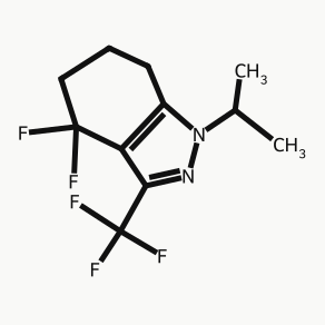 CC(C)n1nc(C(F)(F)F)c2c1CCCC2(F)F